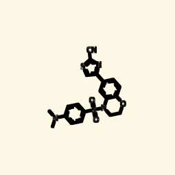 CN(C)c1ccc(S(=O)(=O)N2CCOc3ccc(-c4csc(C#N)n4)cc32)cc1